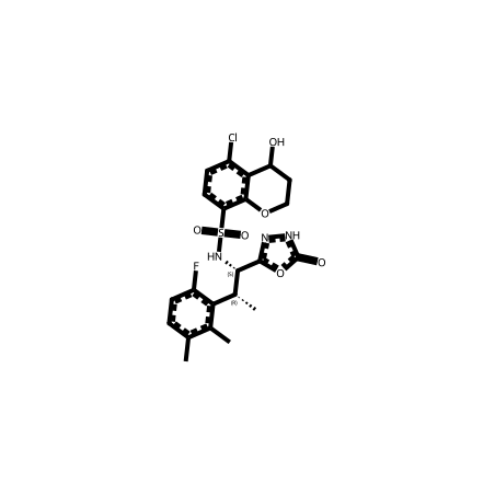 Cc1ccc(F)c([C@@H](C)[C@H](NS(=O)(=O)c2ccc(Cl)c3c2OCCC3O)c2n[nH]c(=O)o2)c1C